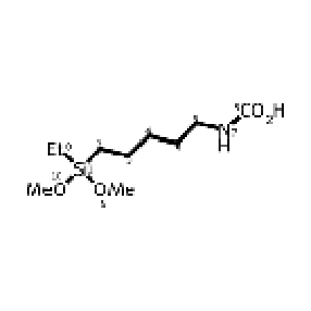 CC[Si](CCCCCNC(=O)O)(OC)OC